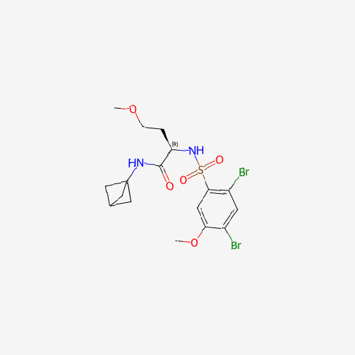 COCC[C@@H](NS(=O)(=O)c1cc(OC)c(Br)cc1Br)C(=O)NC12CC(C1)C2